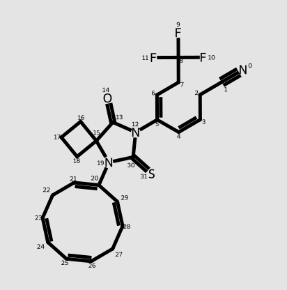 N#CC/C=C\C(=C/CC(F)(F)F)N1C(=O)C2(CCC2)N(C2=C/C/C=C\C=C/C/C=C\2)C1=S